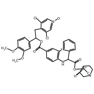 COc1ccc(C(Cc2c(Cl)c[n+]([O-])cc2Cl)OC(=O)c2ccc(NC(C(=O)O[C@H]3CN4CCC3CC4)c3ccccc3)c(F)c2)cc1OC